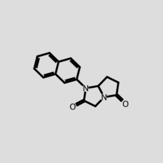 O=C1CCC2N1CC(=O)N2c1ccc2ccccc2c1